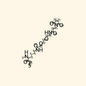 CN[C@@H](CCCCNC(=O)COCCOCCNC(=O)CCN1C(=O)C=CC1=O)C(=O)P=S